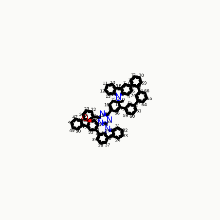 CC1(n2c3ccccc3c3ccccc32)CC=C(c2nc(-c3ccccc3)nc(-n3c4ccccc4c4cccc(-c5ccc6oc7ccccc7c6c5)c43)n2)C=C1c1cccc(-c2cccc(-c3ccccc3)c2)c1